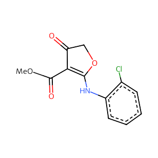 COC(=O)C1=C(Nc2ccccc2Cl)OCC1=O